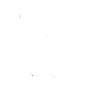 Clc1ccnc(-c2ccnc3[nH]c4ccccc4c23)c1